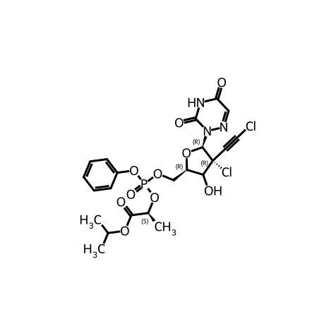 CC(C)OC(=O)[C@H](C)OP(=O)(OC[C@H]1O[C@@H](n2ncc(=O)[nH]c2=O)[C@@](Cl)(C#CCl)C1O)Oc1ccccc1